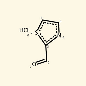 Cl.O=Cc1nccs1